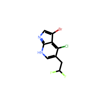 FC(F)Cc1c[nH]c2ncc(Br)c-2c1Cl